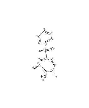 C[C@H]1C=CC(S(=O)(=O)c2ccccc2)=C[C@H](C)[C@H]1O